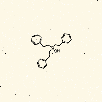 O[Si](CCc1ccccc1)(CCc1ccccc1)CCc1ccccc1